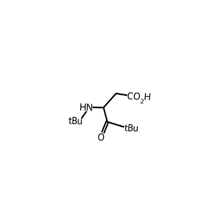 CC(C)(C)NC(CC(=O)O)C(=O)C(C)(C)C